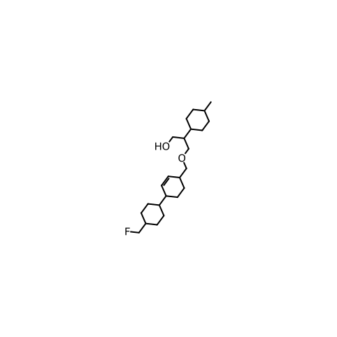 CC1CCC(C(CO)COCC2C=CC(C3CCC(CF)CC3)CC2)CC1